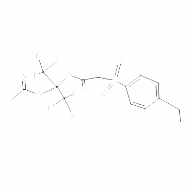 CCc1ccc(S(=O)(=O)CC(=O)OC(OC(C)=O)(C(F)(F)F)C(F)(F)F)cc1